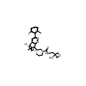 CC1(C)[C@H]2CC[C@]1([C@H]1CCCN(C(=O)NCC3(O)COC3)C1)c1nnc(-c3c(F)cccc3F)cc12